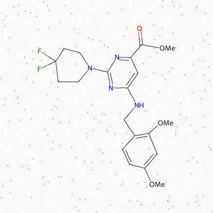 COC(=O)c1cc(NCc2ccc(OC)cc2OC)nc(N2CCC(F)(F)CC2)n1